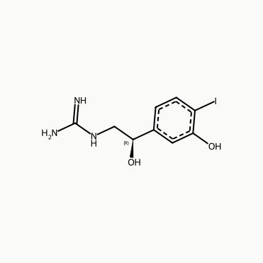 N=C(N)NC[C@H](O)c1ccc(I)c(O)c1